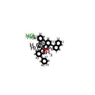 CC1=Cc2c(-c3cccc4ccccc34)ccc(-c3ccccc3)c2[CH]1[Zr]([CH3])([CH3])(=[SiH2])[CH]1C(C(C)C)=Cc2c(-c3ccccc3)cccc21.Cl.Cl